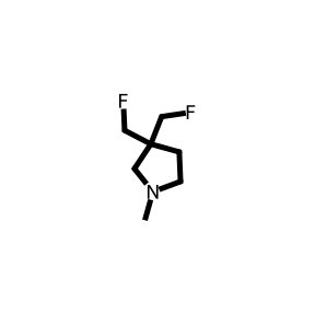 CN1CCC(CF)(CF)C1